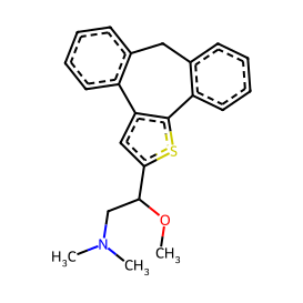 COC(CN(C)C)c1cc2c(s1)-c1ccccc1Cc1ccccc1-2